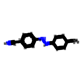 C=C1C=CC(=NNc2ccc(C#N)cc2)C=C1